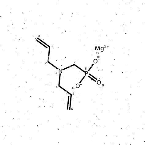 C=CCN(CC=C)CP(=O)([O-])[O-].[Mg+2]